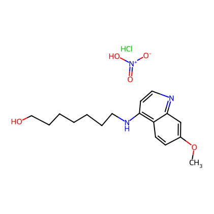 COc1ccc2c(NCCCCCCCO)ccnc2c1.Cl.O=[N+]([O-])O